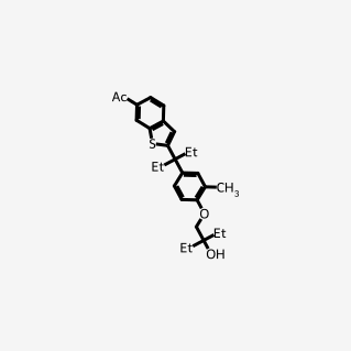 CCC(O)(CC)COc1ccc(C(CC)(CC)c2cc3ccc(C(C)=O)cc3s2)cc1C